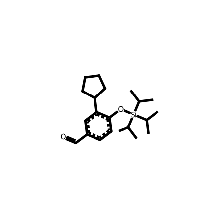 CC(C)[Si](Oc1ccc(C=O)cc1C1CCCC1)(C(C)C)C(C)C